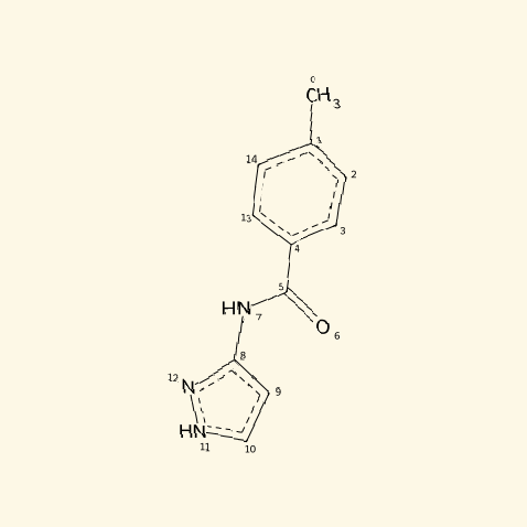 Cc1ccc(C(=O)Nc2cc[nH]n2)cc1